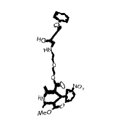 COC(=O)C1=C(C)NC(C)=C(C(=O)OCCOCCNCC(O)COc2ccccc2)C1c1cccc([N+](=O)[O-])c1